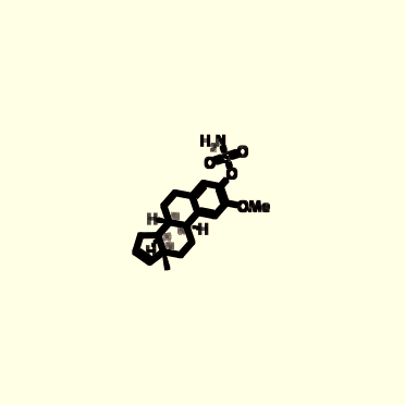 COc1cc2c(cc1OS(N)(=O)=O)CC[C@@H]1[C@@H]2CC[C@]2(C)C=CC[C@@H]12